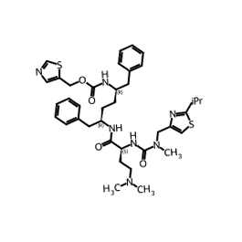 CC(C)c1nc(CN(C)C(=O)N[C@@H](CCN(C)C)C(=O)N[C@H](CC[C@H](Cc2ccccc2)NC(=O)OCc2cncs2)Cc2ccccc2)cs1